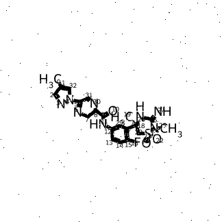 Cc1cnn(C2=NCC(C(=O)Nc3ccc(F)c([C@]4(C)CS(=O)(=O)N(C)C(=N)N4)c3)N=C2)c1